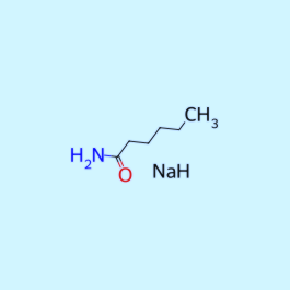 CCCCCC(N)=O.[NaH]